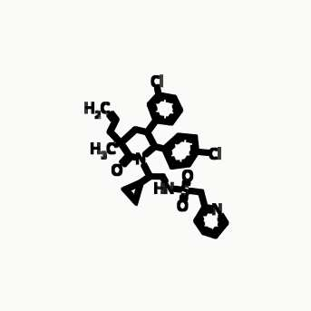 C=CC[C@@]1(C)CC(c2cccc(Cl)c2)C(c2ccc(Cl)cc2)N(C(CNS(=O)(=O)Cc2ccccn2)C2CC2)C1=O